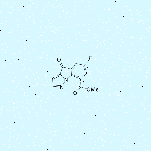 COC(=O)c1cc(F)cc2c1-n1nccc1C2=O